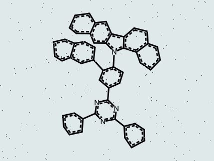 c1ccc(-c2nc(-c3ccccc3)nc(-c3ccc(-n4c5cc6ccccc6cc5c5ccc6ccccc6c54)c(-c4ccc5ccccc5c4)c3)n2)cc1